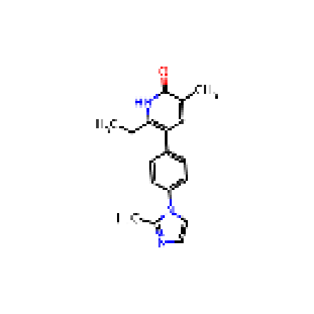 CCc1[nH]c(=O)c(C)cc1-c1ccc(-n2ccnc2C)cc1